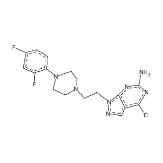 Nc1nc(Cl)c2cnn(CCN3CCN(c4ccc(F)cc4F)CC3)c2n1